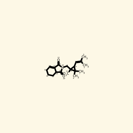 CC(C)=CC1C(C)(C)C1(CN1C(=O)C2=CCCCC2C1=O)C(=O)O